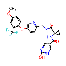 COc1ccc(Oc2ccc(CNC(=O)C3(NC(=O)c4cnc(O)nc4)CC3)nc2)c(C(F)(F)F)c1